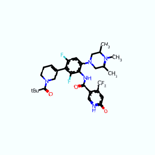 CC1CN(c2cc(F)c(C3=CCCN(C(=O)C(C)(C)C)C3)c(F)c2NC(=O)c2c[nH]c(=O)cc2C(F)(F)F)CC(C)N1C